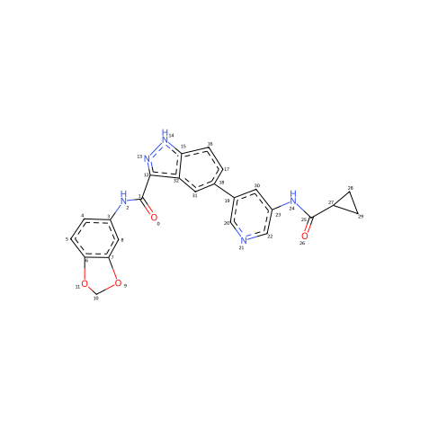 O=C(Nc1ccc2c(c1)OCO2)c1n[nH]c2ccc(-c3cncc(NC(=O)C4CC4)c3)cc12